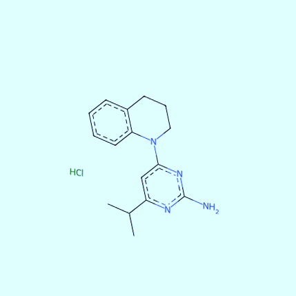 CC(C)c1cc(N2CCCc3ccccc32)nc(N)n1.Cl